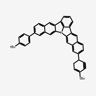 CC(C)(C)C1=CCC(c2ccc3cc4c5cccc6c7cc8ccc(-c9ccc(C(C)(C)C)cc9)cc8cc7n(c4cc3c2)c65)C#C1